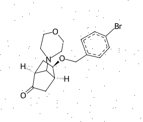 O=C1C[C@H]2C(N3CCOCC3)[C@@H]1C[C@H]2OCc1ccc(Br)cc1